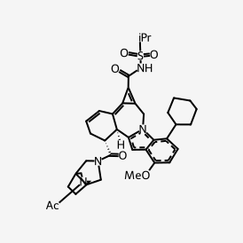 COc1ccc(C2CCCCC2)c2c1cc1n2CC2=C(C(=O)NS(=O)(=O)C(C)C)C2=C2C=CC[C@@H](C(=O)N3CC45CCC4(CN(C(C)=O)C5)C3)[C@@H]21